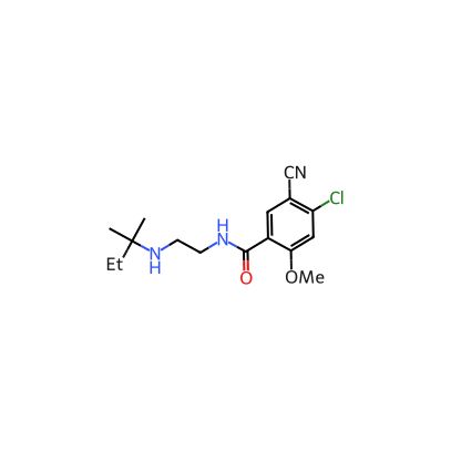 CCC(C)(C)NCCNC(=O)c1cc(C#N)c(Cl)cc1OC